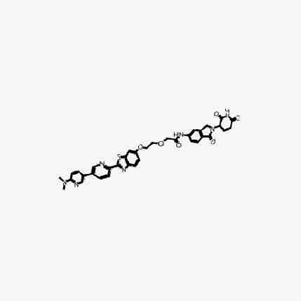 CN(C)c1ccc(-c2ccc(-c3nc4ccc(OCCOCC(=O)Nc5ccc6c(c5)CN(C5CCC(=O)NC5=O)C6=O)cc4s3)nc2)cn1